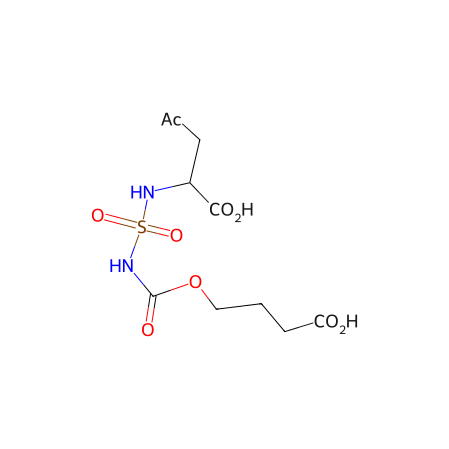 CC(=O)CC(NS(=O)(=O)NC(=O)OCCCC(=O)O)C(=O)O